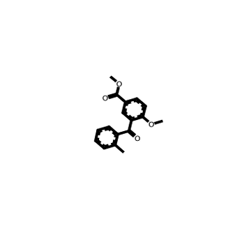 COC(=O)c1ccc(OC)c(C(=O)c2ccccc2C)c1